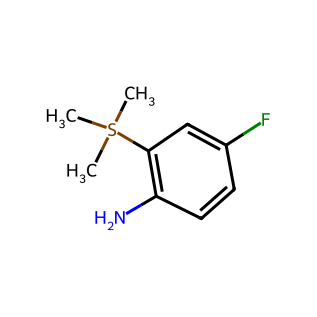 CS(C)(C)c1cc(F)ccc1N